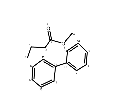 CCCC(=O)OC.c1ccc(-c2ccccc2)cc1